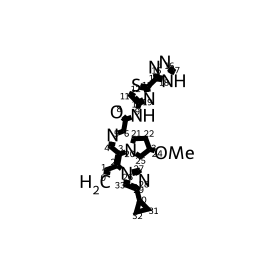 C=C/C(=C(\C=N/CC(=O)Nc1csc(-c2nnc[nH]2)n1)N1CCC(OC)C1)n1cnc(C2CC2)c1